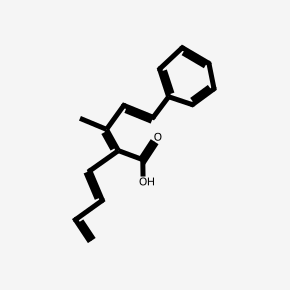 C=CC=CC(C(=O)O)=C(C)C=Cc1ccccc1